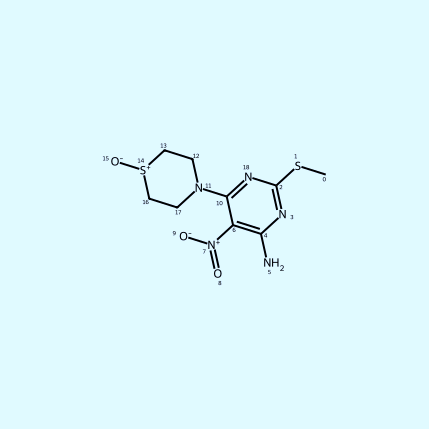 CSc1nc(N)c([N+](=O)[O-])c(N2CC[S+]([O-])CC2)n1